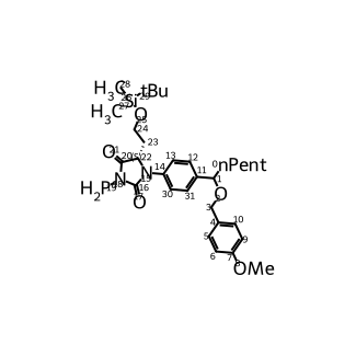 CCCCCC(OCc1ccc(OC)cc1)c1ccc(N2C(=O)N(P)C(=O)[C@@H]2CCO[Si](C)(C)C(C)(C)C)cc1